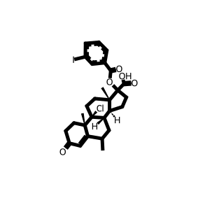 CC1C[C@H]2[C@@H]3CCC(OC(=O)c4cccc(I)c4)(C(=O)O)[C@@]3(C)CC[C@@]2(Cl)[C@@]2(C)CCC(=O)C=C12